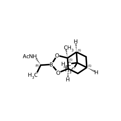 CC(=O)N[C@@H](C)B1O[C@@H]2C[C@@H]3C[C@@H](C3(C)C)[C@]2(C)O1